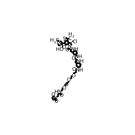 Cc1csc2c(C3CN(C)CCN3C(=O)O)cc3c(c12)[C@H](CCl)CN3C(=O)c1cc2cc(NC(=O)c3cc4cc(NC(=O)CCOCCOCCOCOCCNC(=O)CCN5C(=O)C=CC5=O)ccc4[nH]3)ccc2[nH]1